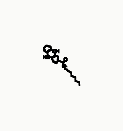 CCCCCCCCOC(=O)c1ccc(Nc2ccccc2)c(O)c1